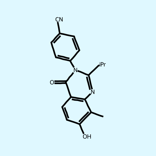 Cc1c(O)ccc2c(=O)n(-c3ccc(C#N)cc3)c(C(C)C)nc12